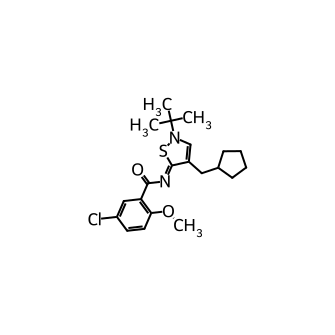 COc1ccc(Cl)cc1C(=O)/N=c1\sn(C(C)(C)C)cc1CC1CCCC1